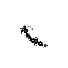 COc1ccc(-c2nc(COc3ccc4c(=O)c(-c5ccc(O)cc5)coc4c3)no2)cc1C(F)(F)F